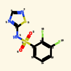 O=S(=O)(Nc1ncns1)c1cccc(F)c1F